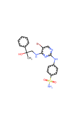 CC(O)(CNc1nc(Nc2ccc(S(N)(=O)=O)cc2)ncc1Br)c1ccccc1